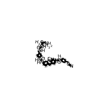 C[n+]1c2cc(NC(=O)Nc3ccc(CNC(=O)NCC(C)(C)CN)cc3)ccc2cc2ccc(NC(=O)Nc3ccc(COC#N)cc3)cc21